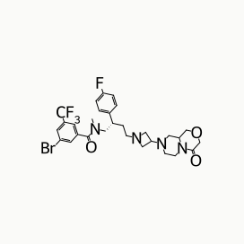 CN(C[C@@H](CCN1CC(N2CCN3C(=O)COCC3C2)C1)c1ccc(F)cc1)C(=O)c1cc(Br)cc(C(F)(F)F)c1